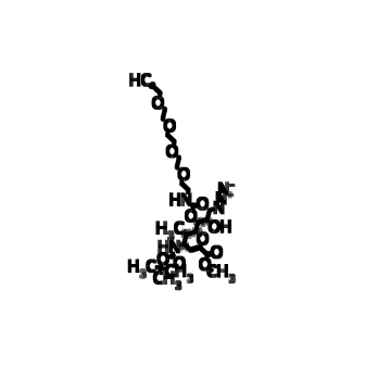 C#CCOCCOCCOCCOCCNC(=O)O[C@@H]([C@@H]1OC(C(=O)OC)=C[C@H](NC(=O)OC(C)(C)C)[C@H]1C)[C@H](O)CN=[N+]=[N-]